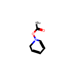 CC(C)(C)C(=O)ON1C=CC=CC1